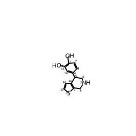 Oc1ccc(C2CNCc3sccc32)cc1O